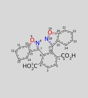 O=C(O)c1ccc(C(=O)O)c(-c2noc3ccccc23)c1-c1noc2ccccc12